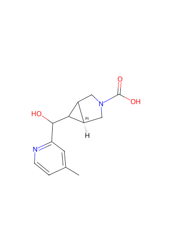 Cc1ccnc(C(O)C2C3CN(C(=O)O)C[C@H]32)c1